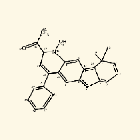 CC1(C)C=CC=C2C=c3cc4c(cc3=C21)N(O)C(C(=O)C(F)(F)F)C=C4c1ccccc1